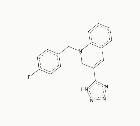 Fc1ccc(CN2CC(c3nnn[nH]3)=Cc3ccccc32)cc1